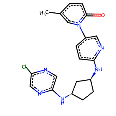 Cc1ccc(=O)n(-c2ccc(N[C@H]3CC[C@H](Nc4cnc(Cl)cn4)C3)nc2)c1